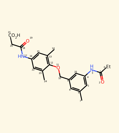 CCC(=O)Nc1cc(C)cc(COc2c(C)cc(NC(=O)CC(=O)O)cc2C)c1